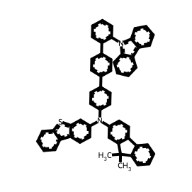 CC1(C)c2ccccc2-c2ccc(N(c3ccc(-c4ccc(-c5ccccc5-n5c6ccccc6c6ccccc65)cc4)cc3)c3ccc4c(c3)sc3ccccc34)cc21